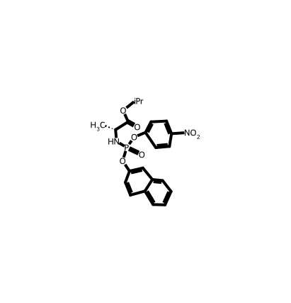 CC(C)OC(=O)[C@@H](C)NP(=O)(Oc1ccc([N+](=O)[O-])cc1)Oc1ccc2ccccc2c1